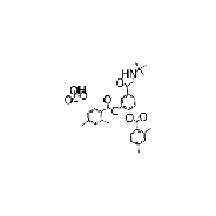 CS(=O)(=O)O.Cc1ccc(C(=O)Oc2ccc(C(=O)CNC(C)(C)C)cc2OC(=O)c2ccc(C)cc2C)c(C)c1